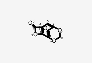 O=C1Oc2c1cc1c(O)c2OCO1